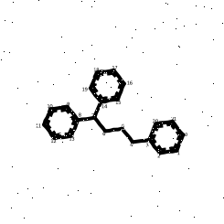 c1ccc(CCCC(c2ccccc2)c2ccccc2)cc1